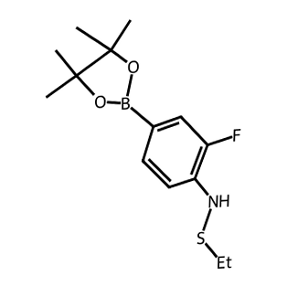 CCSNc1ccc(B2OC(C)(C)C(C)(C)O2)cc1F